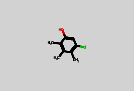 Cc1c(O)cc(Cl)c(C)c1C